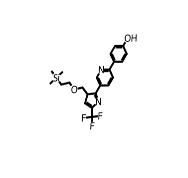 C[Si](C)(C)CCOCC1C=C(C(F)(F)F)N=C1c1ccc(-c2ccc(O)cc2)nc1